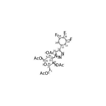 CC(=O)OC[C@H]1O[C@@H](OC(C)=O)[C@H](OC(C)=O)[C@@H](n2cc(-c3cc(F)c(F)c(F)c3)nn2)[C@H]1OC(C)=O